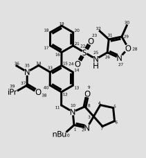 CCCCC1=NC2(CCCC2)C(=O)N1Cc1ccc(-c2ccccc2S(=O)(=O)Nc2noc(C)c2C)c(CN(C)C(=O)C(C)C)c1